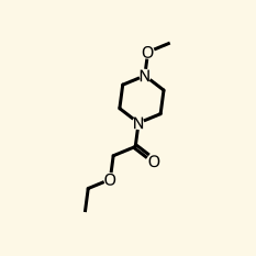 CCOCC(=O)N1CCN(OC)CC1